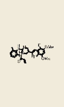 C=CC(=O)Nc1cccc(C)c1Nc1ncc(/C(F)=C/c2c(Cl)c(OC)cc(OC)c2Cl)cn1